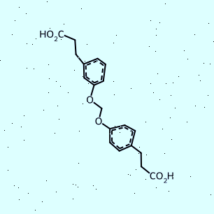 O=C(O)CCc1ccc(OCOc2cccc(CCC(=O)O)c2)cc1